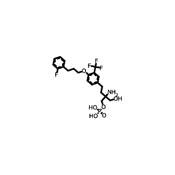 NC(CO)(CCc1ccc(OCCCc2ccccc2F)c(C(F)(F)F)c1)COP(=O)(O)O